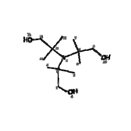 CC(C)(CO)N(C(C)(C)CO)C(C)(C)CO